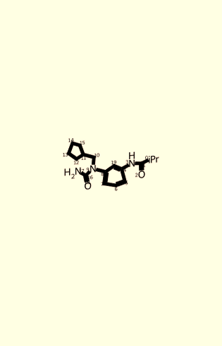 CC(C)C(=O)Nc1cccc(N(CC2CCCC2)C(N)=O)c1